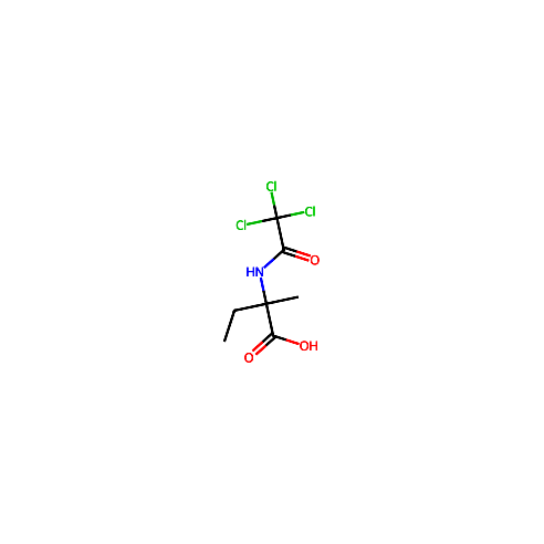 CCC(C)(NC(=O)C(Cl)(Cl)Cl)C(=O)O